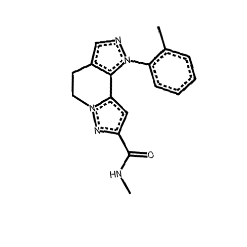 CNC(=O)c1cc2n(n1)CCc1cnn(-c3ccccc3C)c1-2